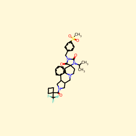 CC(C)N1C(=O)N(Cc2ccc(S(C)(=O)=O)cc2)C(=O)C12CCN(CC1CN(C(=O)C3(C(F)(F)F)CCC3)CC1c1ccccc1)CC2